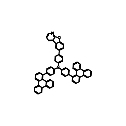 c1cnc2oc3ccc(-c4ccc(N(c5ccc(-c6cccc7c8ccccc8c8ccccc8c67)cc5)c5ccc(-c6cccc7c8ccccc8c8ccccc8c67)cc5)cc4)cc3c2c1